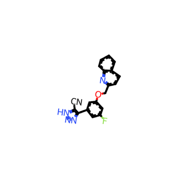 N#Cc1[nH]nnc1-c1cc(F)cc(OCc2ccc3ccccc3n2)c1